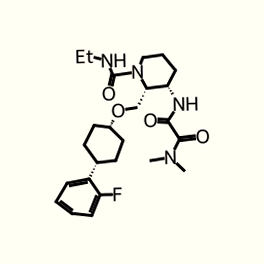 CCNC(=O)N1CCC[C@H](NC(=O)C(=O)N(C)C)[C@@H]1CO[C@H]1CC[C@@H](c2ccccc2F)CC1